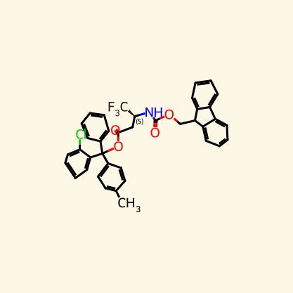 Cc1ccc(C(OC(=O)C[C@H](NC(=O)OCC2c3ccccc3-c3ccccc32)C(F)(F)F)(c2ccccc2)c2ccccc2Cl)cc1